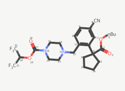 CCCCOC(=O)C1(c2cc(C#N)ccc2CN2CCN(C(=O)OC(C(F)(F)F)C(F)(F)F)CC2)CCCC1